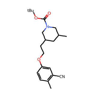 Cc1ccc(OCCC2CC(C)CN(C(=O)OC(C)(C)C)C2)cc1C#N